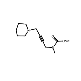 COC(=O)N(C)CC#CCN1CCCCC1